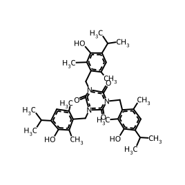 Cc1cc(C(C)C)c(O)c(C)c1Cn1c(=O)n(Cc2c(C)cc(C(C)C)c(O)c2C)c(=O)n(Cc2c(C)cc(C(C)C)c(O)c2C)c1=O